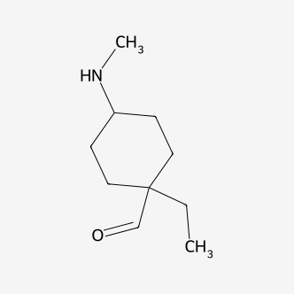 CCC1(C=O)CCC(NC)CC1